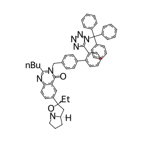 CCCCc1nc2ccc([C@]3(CC)C[C@H]4CCCN4O3)cc2c(=O)n1Cc1ccc(-c2ccccc2-c2nnnn2C(c2ccccc2)(c2ccccc2)c2ccccc2)cc1